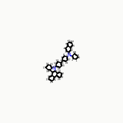 c1ccc(N(c2ccc(-c3ccc(-n4c5ccccc5c5c6ccccc6c6ccccc6c54)cc3)cc2)c2ccc3ccccc3c2)cc1